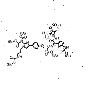 CC(C)(C)OC(=O)NCCCn1cc(-c2ccc(OC[C@H](O/N=C(\C(=O)N[C@@H]3C(=O)N(OS(=O)(=O)O)C3(C)C)c3csc(NC(=O)OC(C)(C)C)n3)C(=O)OC(C)(C)C)cc2)nc1N(C(=O)OC(C)(C)C)C(=O)OC(C)(C)C